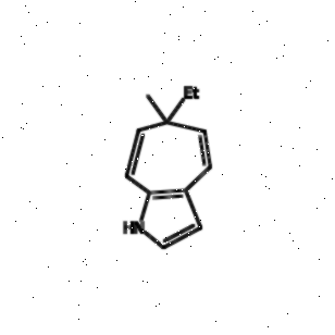 CCC1(C)C=Cc2cc[nH]c2C=C1